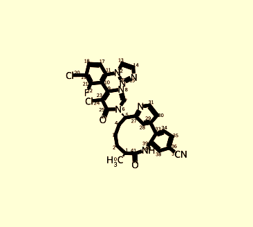 C[C@@H]1CCC[C@H](n2cnc(-c3c(-n4ccnn4)ccc(Cl)c3F)c(Cl)c2=O)c2cc(ccn2)-c2ccc(C#N)cc2NC1=O